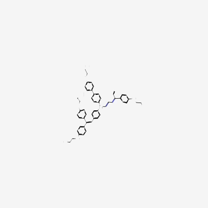 C=C/C(=C\C=C\N(c1ccc(C=C(c2ccc(OCCO)cc2)c2ccc(OCCO)cc2)cc1)c1ccc(-c2ccc(OCCO)cc2)cc1)c1ccc(OCCO)cc1